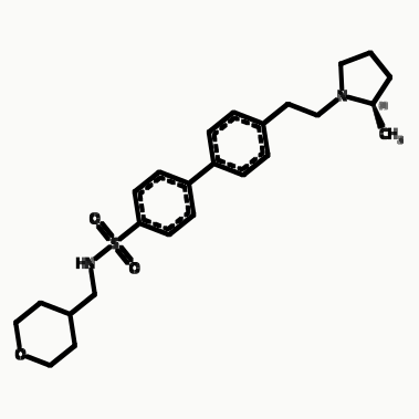 C[C@@H]1CCCN1CCc1ccc(-c2ccc(S(=O)(=O)NCC3CCOCC3)cc2)cc1